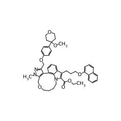 CCOC(=O)c1c(CCCOc2cccc3ccccc23)c2cccc3c2n1CCCCOCc1c-3c(COc2ccc(C3(OC)CCOCC3)cc2)nn1C